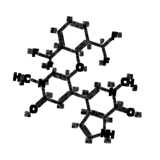 Cn1cc(Oc2c(C(F)F)cccc2C(F)F)c(-c2cn(C)c(=O)c3[nH]ccc23)cc1=O